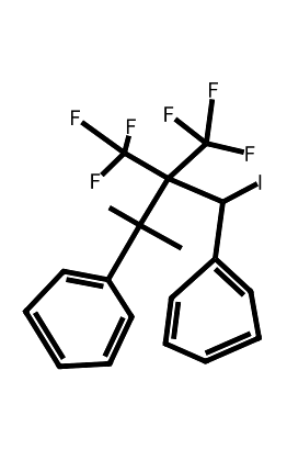 CC(C)(c1ccccc1)C(C(I)c1ccccc1)(C(F)(F)F)C(F)(F)F